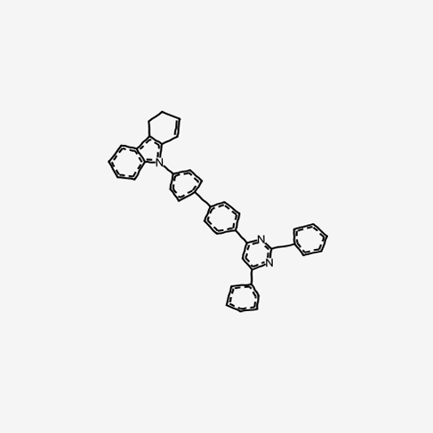 C1=Cc2c(c3ccccc3n2-c2ccc(-c3ccc(-c4cc(-c5ccccc5)nc(-c5ccccc5)n4)cc3)cc2)CC1